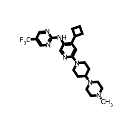 CN1CCN(C2CCN(c3cc(C4CCC4)c(Nc4ncc(C(F)(F)F)cn4)cn3)CC2)CC1